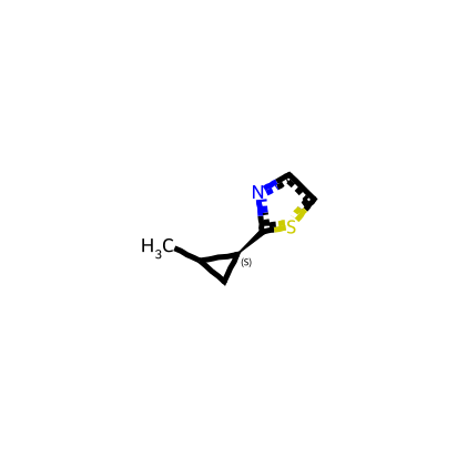 CC1C[C@@H]1c1nccs1